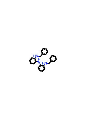 c1ccc(CNc2ccccc2Nc2ccccc2NCc2ccccc2)cc1